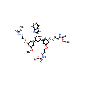 CCCCOc1cc(OCCCNC(=O)OC(C)(C)C)cc(-c2cc(-c3cc(OCCCNC(=O)OC(C)(C)C)cc(OCCCNC(=O)OC(C)(C)C)c3)cc(-c3cc4ccccc4[nH]3)c2)c1